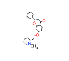 CN1CCCCC1CCOc1ccc2c(c1)OC(c1ccccc1)CC2=O